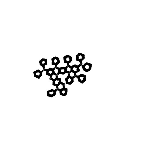 c1ccc(N(c2ccccc2)c2cc3c4c(c2)N(c2ccccc2)c2cc5c(cc2B4c2cc4c(cc2O3)N(c2ccccc2)c2ccccc2S4)B2c3ccccc3N(c3ccccc3)c3cc(N(c4ccccc4)c4ccccc4)cc(c32)N5c2ccccc2)cc1